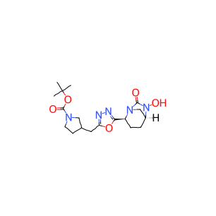 CC(C)(C)OC(=O)N1CCC(Cc2nnc([C@@H]3CC[C@H]4CN3C(=O)N4O)o2)C1